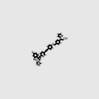 OCC(c1ccc(COc2ccc(C#Cc3ccc(C(F)(F)C(O)(Cn4cnnn4)c4ccc(F)cc4F)nc3)cc2)cc1)n1cccn1